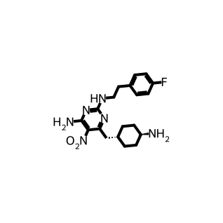 Nc1nc(NCCc2ccc(F)cc2)nc(C[C@H]2CC[C@H](N)CC2)c1[N+](=O)[O-]